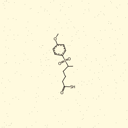 COc1ccc(S(=O)(=O)C(C)CCCC(=O)S)cc1